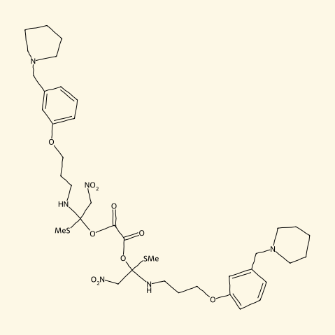 CSC(C[N+](=O)[O-])(NCCCOc1cccc(CN2CCCCC2)c1)OC(=O)C(=O)OC(C[N+](=O)[O-])(NCCCOc1cccc(CN2CCCCC2)c1)SC